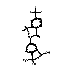 CC1(C)OB(O)c2cc(NC(=O)c3ccc(C(F)(F)F)cc3C(F)(F)F)ccc21